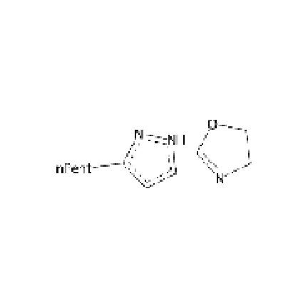 C1=NCCO1.CCCCCc1cc[nH]n1